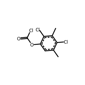 Cc1cc(OC(=O)Cl)c(Cl)c(C)c1Cl